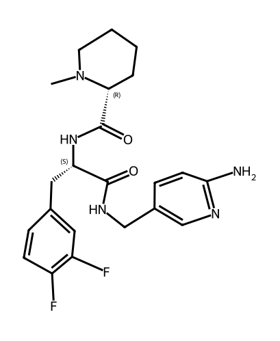 CN1CCCC[C@@H]1C(=O)N[C@@H](Cc1ccc(F)c(F)c1)C(=O)NCc1ccc(N)nc1